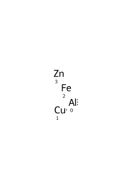 [Al].[Cu].[Fe].[Zn]